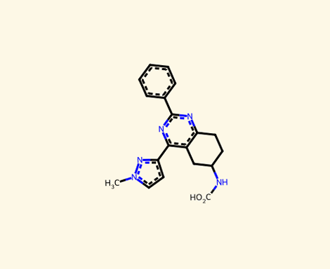 Cn1ccc(-c2nc(-c3ccccc3)nc3c2CC(NC(=O)O)CC3)n1